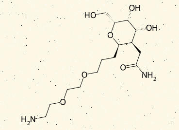 NCCOCCOCCC[C@H]1O[C@H](CO)[C@H](O)[C@H](O)[C@H]1CC(N)=O